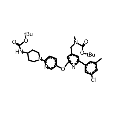 Cc1cc(Cl)cc(-c2cc(CN(C)C(=O)OC(C)(C)C)cc(Oc3ccc(N4CCC(NC(=O)OC(C)(C)C)CC4)nc3)n2)c1